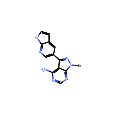 CCn1nc(-c2cnc3[nH]ccc3c2)c2c(N)ncnc21